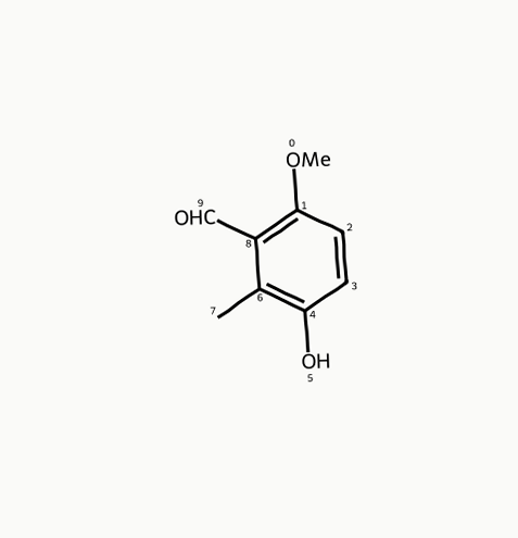 COc1ccc(O)c(C)c1C=O